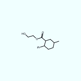 CC1CCC(C(C)C)C(C(=O)OCCO)C1